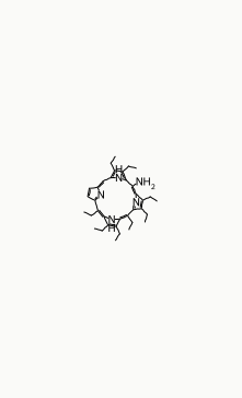 CCC1=C(CC)c2nc1c(N)c1[nH]c(cc3nc(c(CC)c4[nH]c(c2CC)c(CC)c4CC)C=C3)c(CC)c1CC